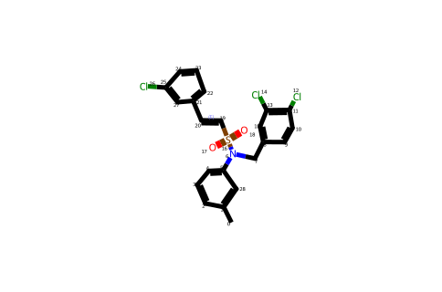 Cc1cccc(N(Cc2ccc(Cl)c(Cl)c2)S(=O)(=O)/C=C/c2cccc(Cl)c2)c1